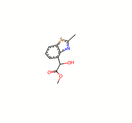 COC(=O)C(O)c1cccc2sc(C)nc12